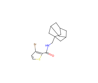 O=C(NCC12CC3CC(CC(C3)C1)C2)c1sccc1Br